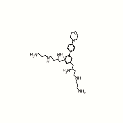 NCCCNCCC(N)Cc1cc(CC(N)CCNCCCN)cc(-c2ccc(N3CCOCC3)cc2)c1